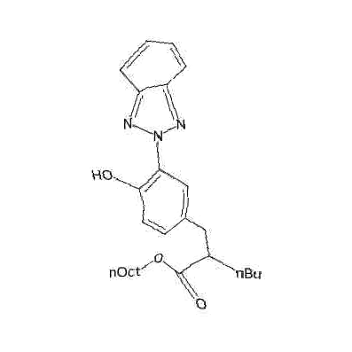 CCCCCCCCOC(=O)C(CCCC)Cc1ccc(O)c(-n2nc3ccccc3n2)c1